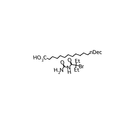 CCC(Br)(CC)C(=O)NC(N)=O.CCCCCCCCCCCCCCCCCCCCCC(=O)O